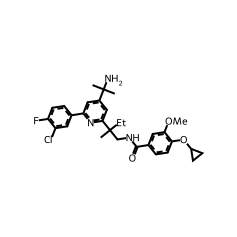 CCC(C)(CNC(=O)c1ccc(OC2CC2)c(OC)c1)c1cc(C(C)(C)N)cc(-c2ccc(F)c(Cl)c2)n1